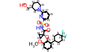 COc1cccc(C2CCC(F)(F)CC2)c1OC1(C(=O)NS(=O)(=O)c2cccc(N3CCC[C@H](CO)C3)n2)CC1